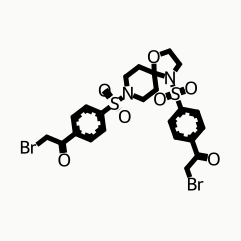 O=C(CBr)c1ccc(S(=O)(=O)N2CCC3(CC2)OCCN3S(=O)(=O)c2ccc(C(=O)CBr)cc2)cc1